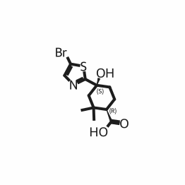 CC1(C)C[C@](O)(c2ncc(Br)s2)CC[C@H]1C(=O)O